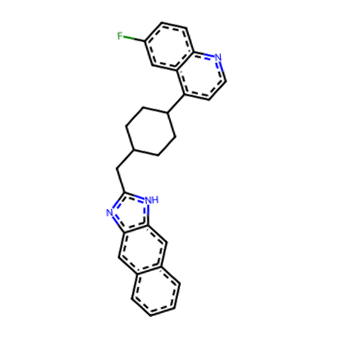 Fc1ccc2nccc(C3CCC(Cc4nc5cc6ccccc6cc5[nH]4)CC3)c2c1